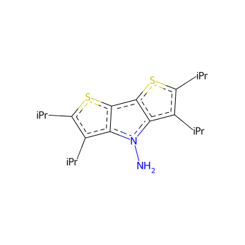 CC(C)c1sc2c3sc(C(C)C)c(C(C)C)c3n(N)c2c1C(C)C